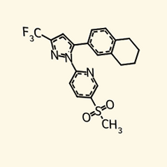 CS(=O)(=O)c1ccc(-n2nc(C(F)(F)F)cc2-c2ccc3c(c2)CCCC3)nc1